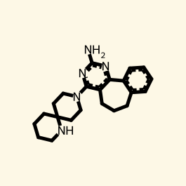 Nc1nc2c(c(N3CCC4(CCCCN4)CC3)n1)CCCc1ccccc1-2